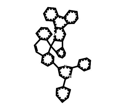 C1=Cc2ccc(-c3cc(-c4ccccc4)nc(-c4ccccc4)n3)cc2C2(c3ccccc31)c1ccccc1-c1cc3c4ccccc4c4ccccc4c3cc12